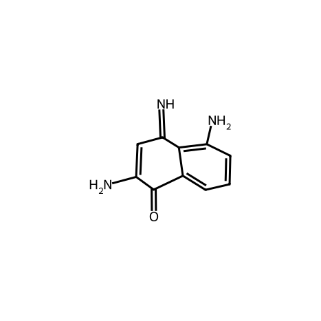 N=C1C=C(N)C(=O)c2cccc(N)c21